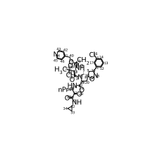 C=C(N[C@H](C(=O)N1C[C@@]2(CC(c3cccc(Cl)c3)=NO2)C[C@H]1C(=O)N[C@@H](CCC)C(=O)C(=O)NC1CC1)C(C)(C)OC)OCc1ccncc1